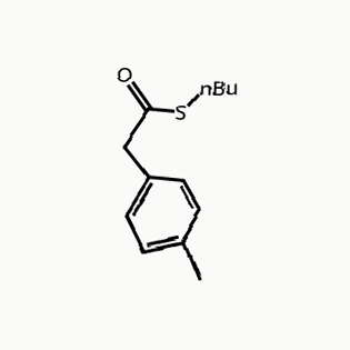 CCCCSC(=O)Cc1ccc(C)cc1